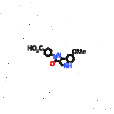 COc1ccc2[nH]cc3c(=O)n(-c4ccc(C(=O)O)cc4)nc-3c2c1